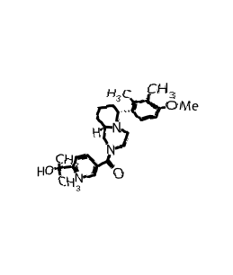 COc1ccc([C@H]2CCC[C@H]3CN(C(=O)c4ccc(C(C)(C)O)nc4)CCN32)c(C)c1C